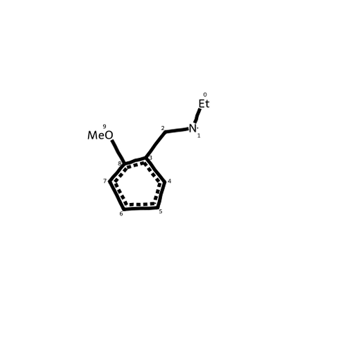 CC[N]Cc1ccccc1OC